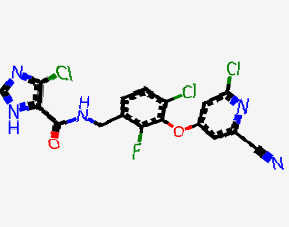 N#Cc1cc(Oc2c(Cl)ccc(CNC(=O)c3[nH]cnc3Cl)c2F)cc(Cl)n1